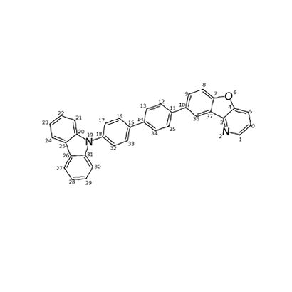 c1cnc2c(c1)oc1ccc(-c3ccc(-c4ccc(-n5c6ccccc6c6ccccc65)cc4)cc3)cc12